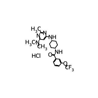 Cc1nc(N[C@H]2CC[C@@H](NC(=O)c3cccc(OC(F)(F)F)c3)CC2)cc(N(C)C)n1.Cl